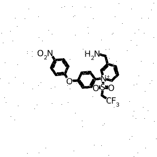 NCC1=C[N+](c2ccc(Oc3ccc([N+](=O)[O-])cc3)cc2)(S(=O)(=O)CC(F)(F)F)CC=C1